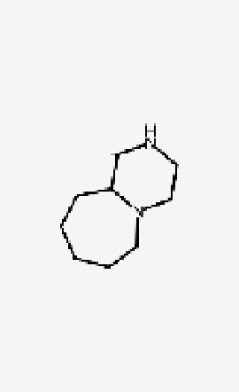 [CH]1NCCN2CCCCCC12